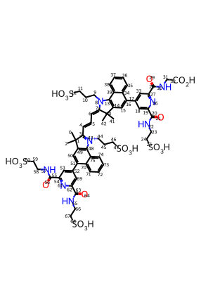 CC1(C)C(/C=C/C=C2/N(CCCS(=O)(=O)O)c3c(cc(-c4cc(C(=O)NCCS(=O)(=O)O)nc(C(=O)NCC(=O)O)c4)c4ccccc34)C2(C)C)=[N+](CCCS(=O)(=O)O)c2c1cc(-c1cc(C(=O)NCCS(=O)(=O)O)nc(C(=O)NCCS(=O)(=O)O)c1)c1ccccc21